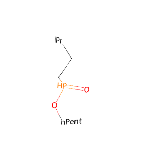 CCCCCO[PH](=O)CCC(C)C